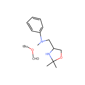 CC(C)(C)OC=O.CN(CC1COC(C)(C)N1)c1ccccc1